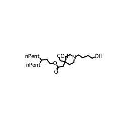 CCCCCC(CCCCC)CCOC(=O)CC1(CC(=O)O)CCN(CCCCO)CC1